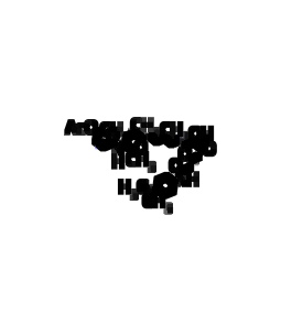 CC(=O)O[C@@H](C)/C=C\C(=O)N[C@@H]1C[C@H](C)[C@H](C/C=C(C)/C=C/[C@H]2O[C@H](CC(=O)N[C@H]3CC[C@H](N(C)C)CC3)C[C@@]3(CO3)[C@@H]2O)O[C@@H]1C